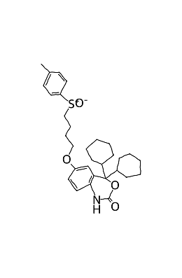 Cc1ccc([S+]([O-])CCCCOc2ccc3c(c2)C(C2CCCCC2)(C2CCCCC2)OC(=O)N3)cc1